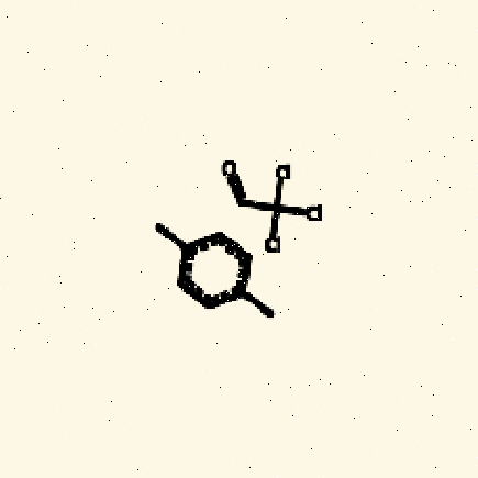 Cc1ccc(C)cc1.O=CC(Cl)(Cl)Cl